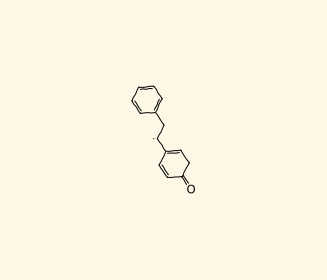 O=C1C=CC([CH]Cc2ccccc2)=CC1